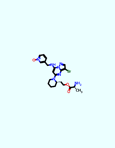 C[C@@H](N)C(=O)OCC[C@@H]1CCCCN1c1cc(NCc2ccc[n+]([O-])c2)n2ncc(Br)c2n1